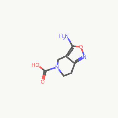 Nc1onc2c1CN(C(=O)O)CC2